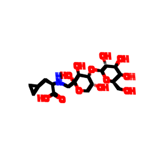 O=C(O)[C@@H](CC1CC1)NC[C@@]1(O)OC[C@@H](O)[C@@H](O[C@@H]2O[C@H](CO)[C@H](O)[C@H](O)[C@H]2O)[C@@H]1O